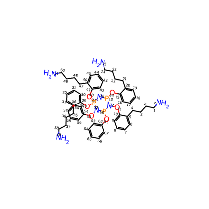 NCCCCc1ccccc1ON1P(Oc2ccccc2CCCCN)N=P(Oc2ccccc2CCCCN)(Oc2ccccc2CCCCN)N(Oc2ccccc2)P1Oc1ccccc1